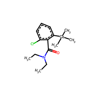 CCN(CC)C(=O)c1c(Cl)ccc[c]1[Ge]([CH3])([CH3])[CH3]